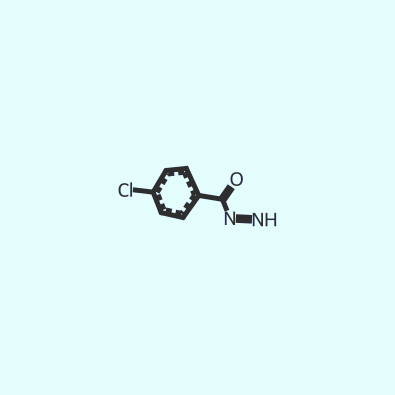 N=NC(=O)c1ccc(Cl)cc1